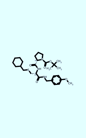 COc1ccc(CNC(=O)[C@H](CSCC2CCCCC2)NC(=O)[C@@H]2CCCN2C(=O)OC(C)(C)C)cc1